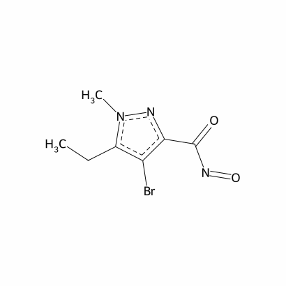 CCc1c(Br)c(C(=O)N=O)nn1C